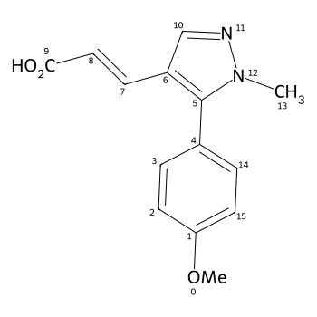 COc1ccc(-c2c(C=CC(=O)O)cnn2C)cc1